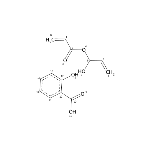 C=CC(=O)OC(O)C=C.O=C(O)c1ccccc1O